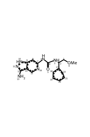 COCC(NC(=O)Nc1cc2[nH]nc(N)c2cn1)c1ccccc1